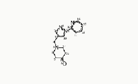 O=C1CCN(Cc2cnn(-c3ccccn3)c2)CC1